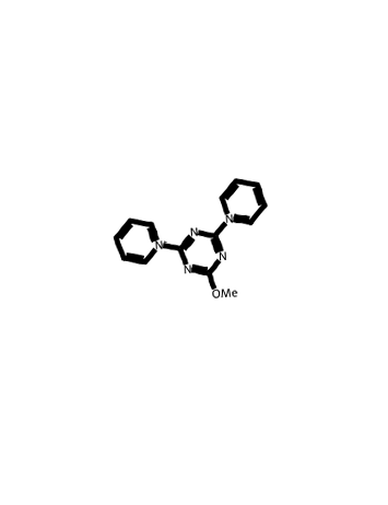 COc1nc(-[n+]2ccccc2)nc(-[n+]2ccccc2)n1